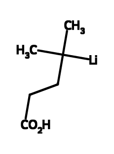 [Li][C](C)(C)CCC(=O)O